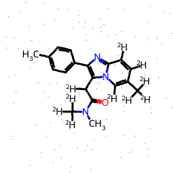 [2H]c1c(C([2H])([2H])[2H])c([2H])n2c(C([2H])C(=O)N(C)C([2H])([2H])[2H])c(-c3ccc(C)cc3)nc2c1[2H]